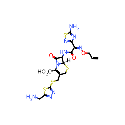 C=CCO/N=C(\C(=O)NC1C(=O)N2C(C(=O)O)=C(CSc3nnc(CN)s3)CS[C@H]12)c1nsc(N)n1